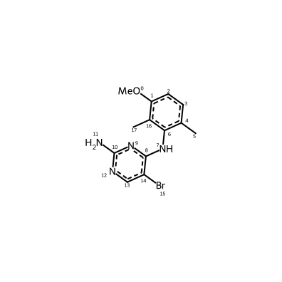 COc1ccc(C)c(Nc2nc(N)ncc2Br)c1C